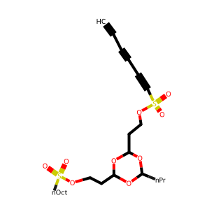 C#CC#CC#CS(=O)(=O)OCCC1OC(CCC)OC(CCOS(=O)(=O)CCCCCCCC)O1